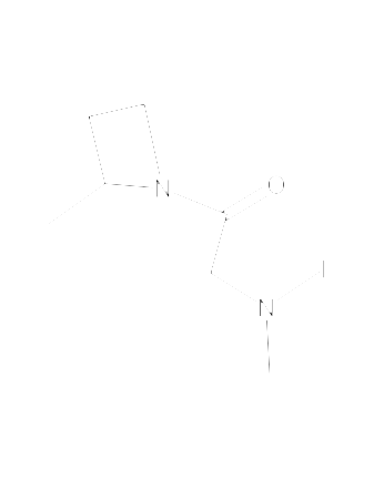 CC1CCN1C(=O)CN(C)I